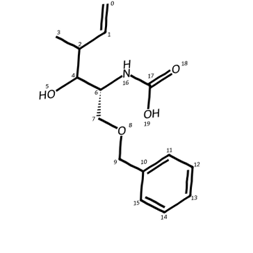 C=CC(C)C(O)[C@@H](COCc1ccccc1)NC(=O)O